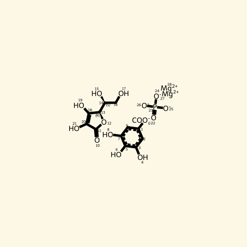 O=C([O-])c1cc(O)c(O)c(O)c1.O=C1O[C@H]([C@@H](O)CO)C(O)=C1O.O=P([O-])([O-])[O-].[Mg+2].[Mg+2]